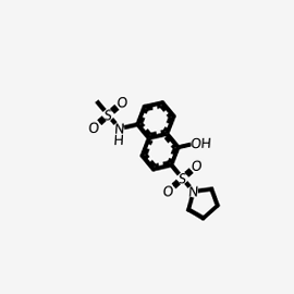 CS(=O)(=O)Nc1cccc2c(O)c(S(=O)(=O)N3CCCC3)ccc12